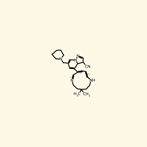 CC1(C)CC\N=C/C(C2=CC(CN3CCCCC3)=CN3N=CC(C#N)C23)=C\C=C\NCC1